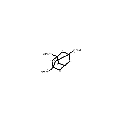 CCCCCC12CC3CC(CCCCC)(C1)CC(CCCCC)(C3)C2